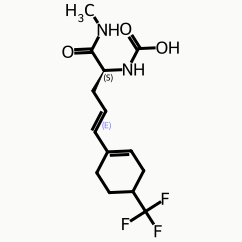 CNC(=O)[C@H](C/C=C/C1=CCC(C(F)(F)F)CC1)NC(=O)O